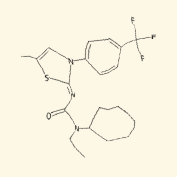 CCN(C(=O)N=c1sc(C)cn1-c1ccc(C(F)(F)F)cc1)C1CCCCC1